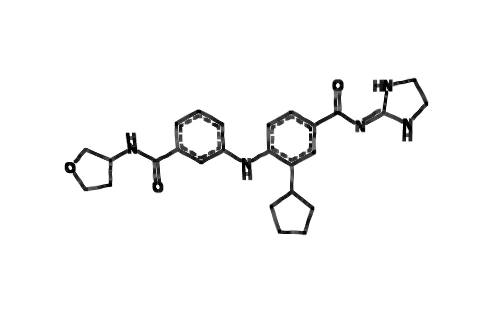 O=C(N=C1NCCN1)c1ccc(Nc2cccc(C(=O)NC3CCOC3)c2)c(C2CCCC2)c1